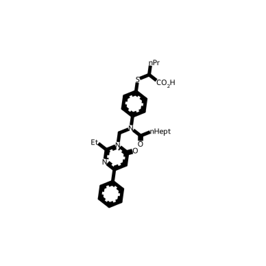 CCCCCCCC(=O)N(Cn1c(CC)nc(-c2ccccc2)cc1=O)c1ccc(SC(CCC)C(=O)O)cc1